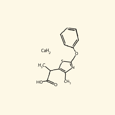 Cc1nc(Oc2ccccc2)sc1C(C)C(=O)O.[CaH2]